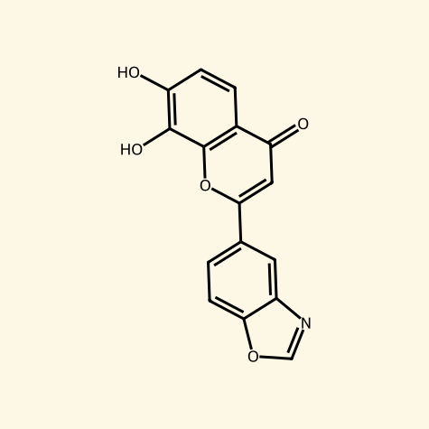 O=c1cc(-c2ccc3ocnc3c2)oc2c(O)c(O)ccc12